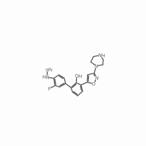 CCCNc1ccc(-c2cccc(-c3cc(N4CCNCC4)no3)c2O)cc1F